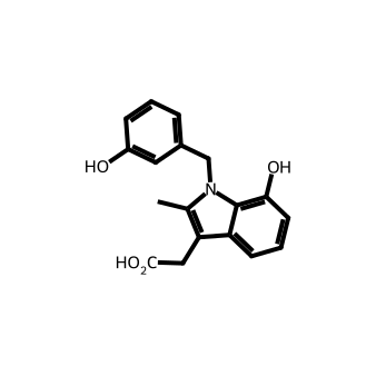 Cc1c(CC(=O)O)c2cccc(O)c2n1Cc1cccc(O)c1